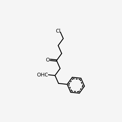 O=CC(CC(=O)CCCCl)Cc1ccccc1